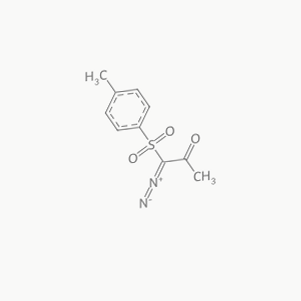 CC(=O)C(=[N+]=[N-])S(=O)(=O)c1ccc(C)cc1